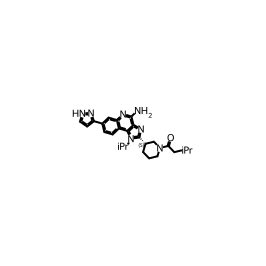 CC(C)CC(=O)N1CCC[C@H](c2nc3c(N)nc4cc(-c5cc[nH]n5)ccc4c3n2C(C)C)C1